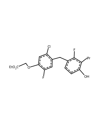 CCOC(=O)COc1cc(Cl)c(Cc2ccc(O)c(C(C)C)c2F)cc1F